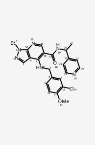 CCn1ncc2c(NCc3ccc(OC)c(Cl)c3)c(C(=O)NC(C)c3ccncc3)cnc21